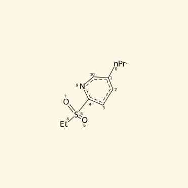 CC[CH]c1ccc(S(=O)(=O)CC)nc1